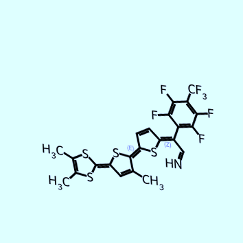 CC1=C(C)SC(=c2cc(C)/c(=c3/cc/c(=C(/C=N)c4c(F)c(F)c(C(F)(F)F)c(F)c4F)s3)s2)S1